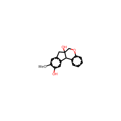 COc1cc2c(cc1O)C1c3ccccc3OCC1(O)C2